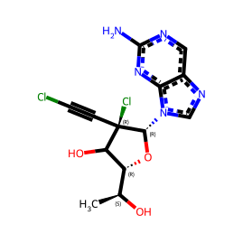 C[C@H](O)[C@H]1O[C@@H](n2cnc3cnc(N)nc32)[C@@](Cl)(C#CCl)C1O